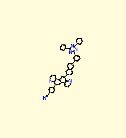 N#Cc1ccc(-c2cc3c4cccnc4c(-c4ccc5cc(-c6cccc(-c7nc(-c8ccccc8)nc(-c8ccccc8)n7)c6)ccc5c4)cc3c3cccnc23)cc1